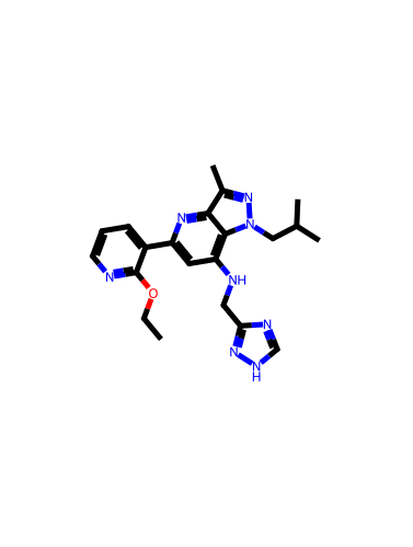 CCOc1ncccc1-c1cc(NCc2nc[nH]n2)c2c(n1)c(C)nn2CC(C)C